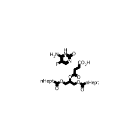 CCCCCCCC(=O)OCC(COC(=O)CCCCCCC)OC(=O)CCC(=O)O.Nc1[nH]c(=O)ncc1F